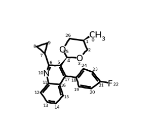 C[C@H]1CO[C@@H](c2c(C3CC3)nc3ccccc3c2-c2ccc(F)cc2)OC1